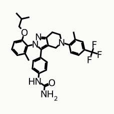 Cc1cc(C(F)(F)F)ccc1N1CCc2nn(-c3c(C)cccc3OCC(C)C)c(-c3ccc(NC(N)=O)cc3)c2C1